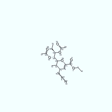 CCOC(=O)C1=CC(N=[N+]=[N-])C(C)C([C@H](OC(C)=O)[C@@H](CC)OC(C)=O)O1